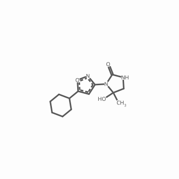 CC1(O)CNC(=O)N1c1cc(C2CCCCC2)on1